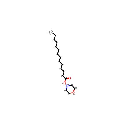 CCCCCCCCCCCCCC(=O)ON1CCOCC1